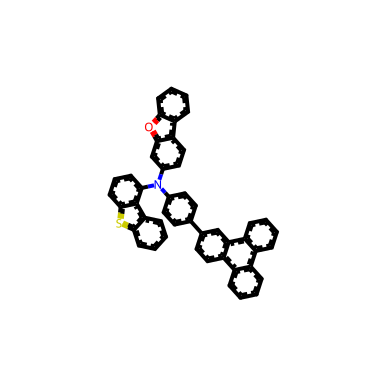 c1ccc2c(c1)oc1cc(N(c3ccc(-c4ccc5c6ccccc6c6ccccc6c5c4)cc3)c3cccc4sc5ccccc5c34)ccc12